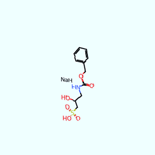 O=C(NCC(O)CS(=O)(=O)O)OCc1ccccc1.[NaH]